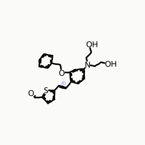 O=Cc1ccc(/C=C/c2ccc(N(CCO)CCO)cc2OCc2ccccc2)s1